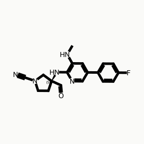 CNc1cc(-c2ccc(F)cc2)cnc1N[C@@]1(C=O)CCN(C#N)C1